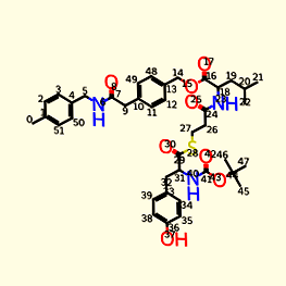 Cc1ccc(CNC(=O)Cc2ccc(COC(=O)C(CC(C)C)NC(=O)CCSC(=O)C(Cc3ccc(O)cc3)NC(=O)OC(C)(C)C)cc2)cc1